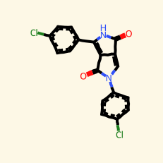 O=C1NC(c2ccc(Cl)cc2)=C2C(=O)N(c3ccc(Cl)cc3)C=C12